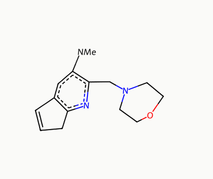 CNc1cc2c(nc1CN1CCOCC1)CC=C2